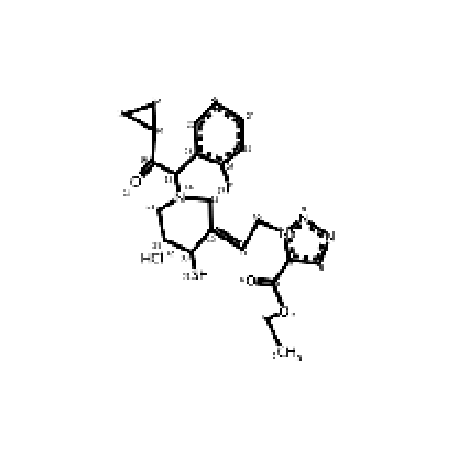 CCOC(=O)c1cnnn1C/C=C1\CN(C(C(=O)C2CC2)c2ccccc2F)CCC1S.Cl